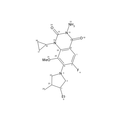 C[CH]C1CN(c2c(F)cc3c(=O)n(N)c(=O)n(C4CC4)c3c2OC)CC1C